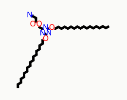 CCCCCCCCCCCCCCCCCCOc1nc(COC(=O)CC#N)nc(OCCCCCCCCCCCCCCCCCC)n1